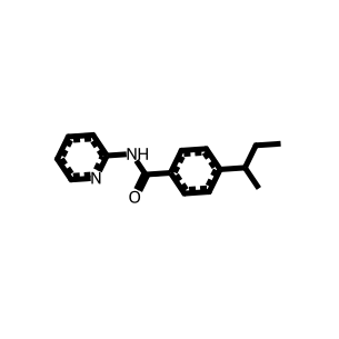 CCC(C)c1ccc(C(=O)Nc2ccccn2)cc1